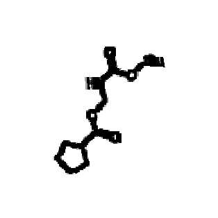 CC(C)(C)OC(=O)NCOC(=O)C1CCCC1